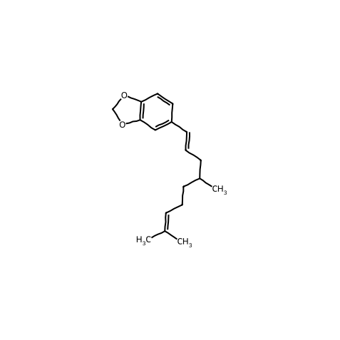 CC(C)=CCCC(C)CC=Cc1ccc2c(c1)OCO2